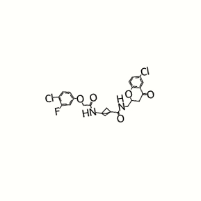 O=C(COc1ccc(Cl)c(F)c1)NC12CC(C(=O)NCC3CC(=O)c4cc(Cl)ccc4O3)(C1)C2